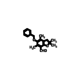 Cc1c(C=O)c2c(c(C)c1OCc1ccccc1)CC(C)(C)O2